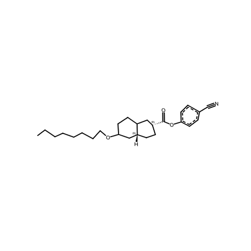 CCCCCCCCOC1CCC2C[C@H](C(=O)Oc3ccc(C#N)cc3)CC[C@@H]2C1